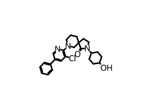 O=C1N(C2CCC(O)CC2)CCC12CCCN(c1ncc(-c3ccccc3)cc1Cl)C2